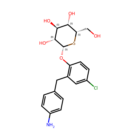 Nc1ccc(Cc2cc(Cl)ccc2O[C@H]2S[C@@H](CO)[C@@H](O)[C@H](O)[C@H]2O)cc1